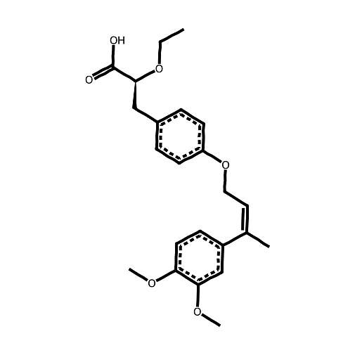 CCO[C@@H](Cc1ccc(OC/C=C(/C)c2ccc(OC)c(OC)c2)cc1)C(=O)O